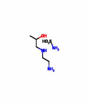 CC(O)CNCCN.NS(=O)(=O)O